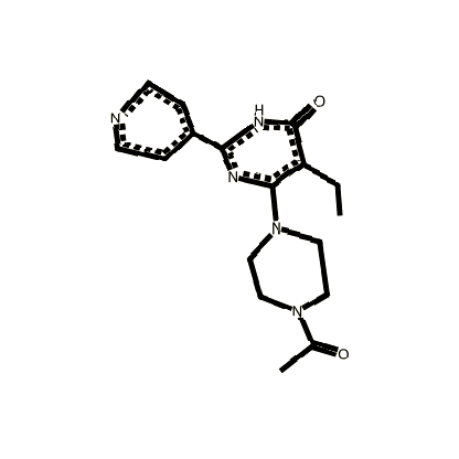 CCc1c(N2CCN(C(C)=O)CC2)nc(-c2ccncc2)[nH]c1=O